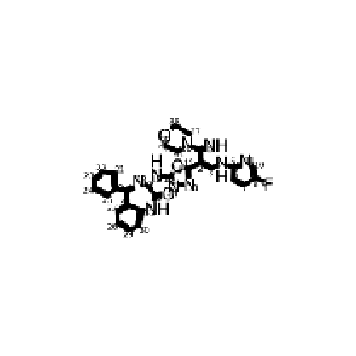 N=C(/C(=C\Nc1ccc(F)cn1)c1nnc(N[C@H]2N=C(c3ccccc3)c3ccccc3NC2=O)o1)N1CCOCC1